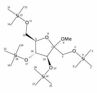 COC1(CO[Si](C)(C)C)O[C@H](CO[Si](C)(C)C)[C@@H](O[Si](C)(C)C)[C@@H]1O[Si](C)(C)C